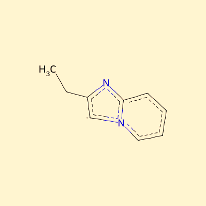 CCc1[c]n2ccccc2n1